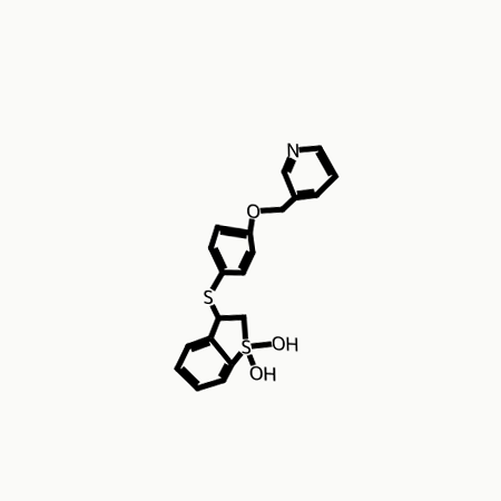 OS1(O)CC(Sc2ccc(OCc3cccnc3)cc2)c2ccccc21